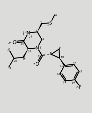 CSC[C@H]1CN(C(=O)[C@@H]2C[C@H]2c2ccc(F)cc2)[C@@H](CC(C)C)C(=O)N1